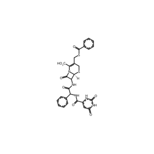 O=C(O)C1=C(CSC(=O)c2ccccc2)CS[C@H]2C(NC(=O)C(NC(=O)c3cc(=O)[nH]c(=O)[nH]3)c3ccccc3)C(=O)N12